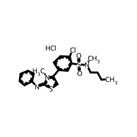 CCCCN(C)S(=O)(=O)c1cc(-c2csc(=Nc3ccccc3)n2C)ccc1Cl.Cl